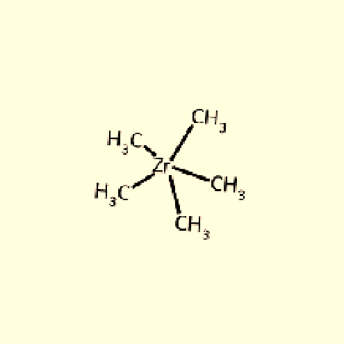 [CH3][Zr]([CH3])([CH3])([CH3])[CH3]